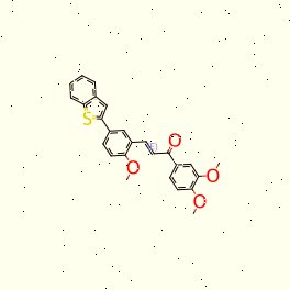 COc1ccc(-c2cc3ccccc3s2)cc1/C=C/C(=O)c1ccc(OC)c(OC)c1